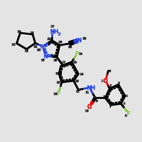 COc1ccc(F)cc1C(=O)NCc1cc(F)c(-c2nn(C3CCCC3)c(N)c2C#N)cc1F